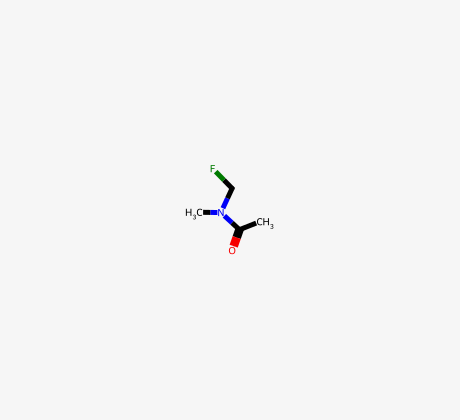 CC(=O)N(C)CF